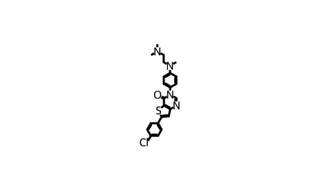 CN(C)CCN(C)c1ccc(-n2cnc3cc(-c4ccc(Cl)cc4)sc3c2=O)cc1